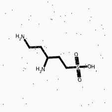 NCCC(N)CCS(=O)(=O)O